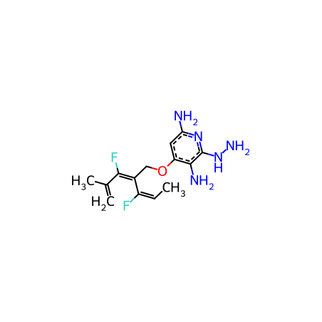 C=C(C)/C(F)=C(COc1cc(N)nc(NN)c1N)\C(F)=C/C